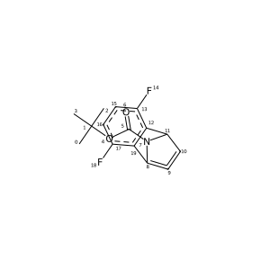 CC(C)(C)OC(=O)N1C2=C=CC1c1c(F)ccc(F)c12